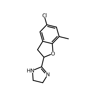 Cc1cc(Cl)cc2c1OC(C1=NCCN1)C2